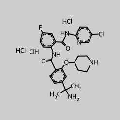 CC(C)(N)c1ccc(C(=O)Nc2ccc(F)cc2C(=O)Nc2ccc(Cl)cn2)c(OC2CCNCC2)c1.Cl.Cl.Cl